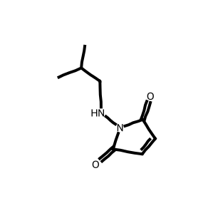 CC(C)CNN1C(=O)C=CC1=O